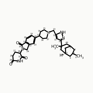 CC1CC2C[C@@H](C1)CC(C)(c1cc(CN3CCC(c4ccc5c(c4)CN(C4CCC(=O)NC4=O)C5=O)CC3)[nH]n1)C2